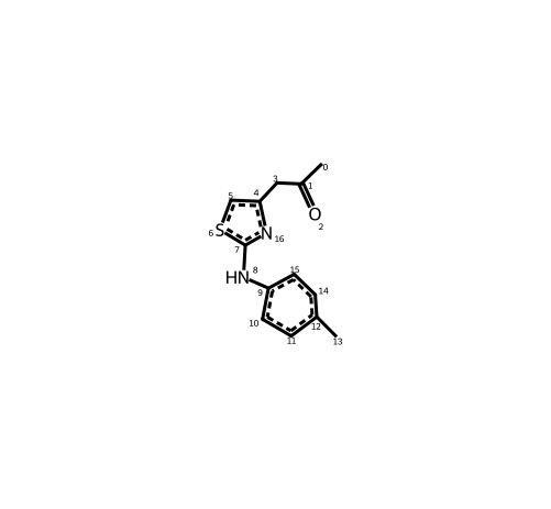 CC(=O)Cc1csc(Nc2ccc(C)cc2)n1